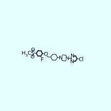 CS(=O)(=O)c1ccc(OCC2CCC(N3CCN(c4ncc(Cl)cn4)CC3)CC2)c(F)c1